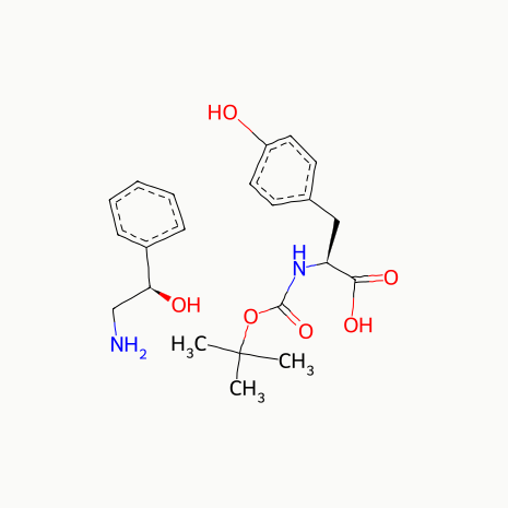 CC(C)(C)OC(=O)N[C@@H](Cc1ccc(O)cc1)C(=O)O.NC[C@H](O)c1ccccc1